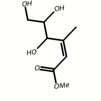 COC(=O)C=C(C)C(O)C(O)CO